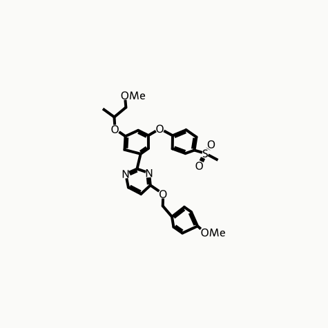 COCC(C)Oc1cc(Oc2ccc(S(C)(=O)=O)cc2)cc(-c2nccc(OCc3ccc(OC)cc3)n2)c1